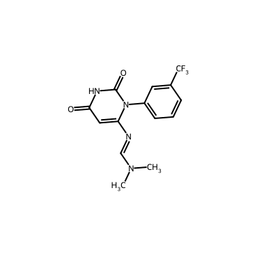 CN(C)/C=N/c1cc(=O)[nH]c(=O)n1-c1cccc(C(F)(F)F)c1